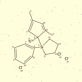 CC1=C[C]([Ti+3])([Si]2(c3ccccc3)CCCC2)C(C)=C1.[Cl-].[Cl-].[Cl-]